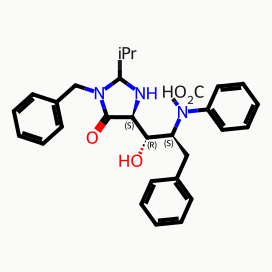 CC(C)C1N[C@@H]([C@@H](O)[C@H](Cc2ccccc2)N(C(=O)O)c2ccccc2)C(=O)N1Cc1ccccc1